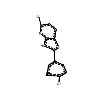 Clc1ccc(-c2nc3ccc(Cl)nc3[nH]2)cc1